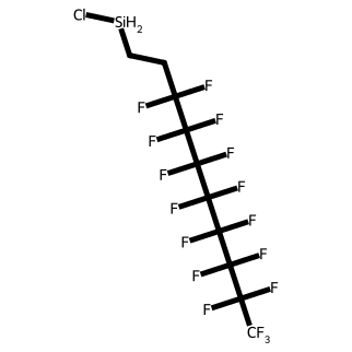 FC(F)(F)C(F)(F)C(F)(F)C(F)(F)C(F)(F)C(F)(F)C(F)(F)C(F)(F)CC[SiH2]Cl